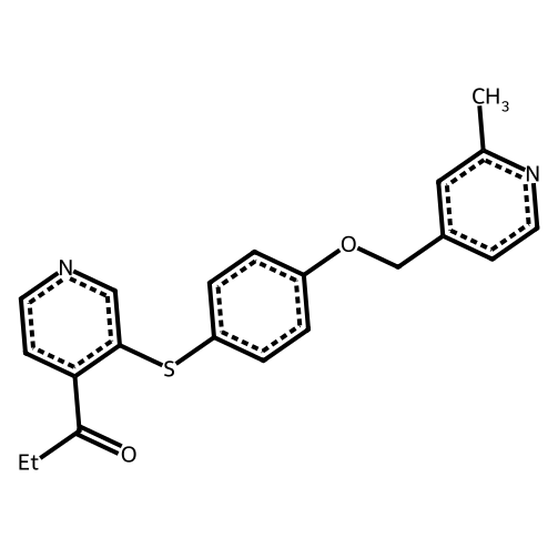 CCC(=O)c1ccncc1Sc1ccc(OCc2ccnc(C)c2)cc1